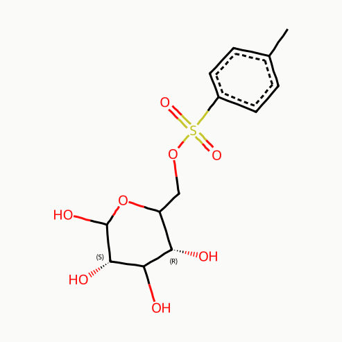 Cc1ccc(S(=O)(=O)OCC2OC(O)[C@@H](O)C(O)[C@H]2O)cc1